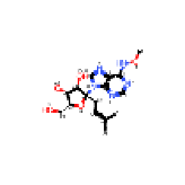 CONc1ncnc2c1ncn2[C@]1(CC=C(C)C)O[C@H](CO)[C@@H](O)[C@H]1O